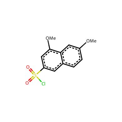 COc1ccc2cc(S(=O)(=O)Cl)cc(OC)c2c1